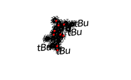 CC(C)(C)c1ccc2c(c1)c1cc(C(C)(C)C)ccc1n2-c1cccc(N(c2ccc(-c3ccccc3)cc2)c2ccc3c(c2)C(c2ccccc2)(c2ccccc2)c2cc(N(c4ccc(-c5ccccc5)cc4)c4cccc(-n5c6ccc(C(C)(C)C)cc6c6cc(C(C)(C)C)ccc65)c4)c4ccccc4c2-3)c1